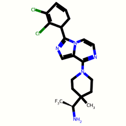 CC1([C@@H](N)C(F)(F)F)CCN(c2nccn3c(C4CC=CC(Cl)=C4Cl)ncc23)CC1